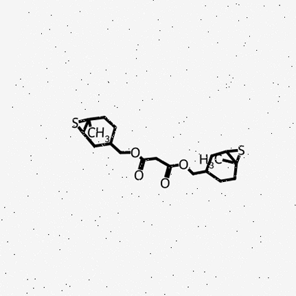 CC12CCC(COC(=O)CC(=O)OCC3CCC4(C)SC4C3)CC1S2